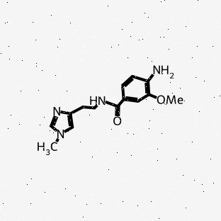 COc1cc(C(=O)NCCc2cn(C)cn2)ccc1N